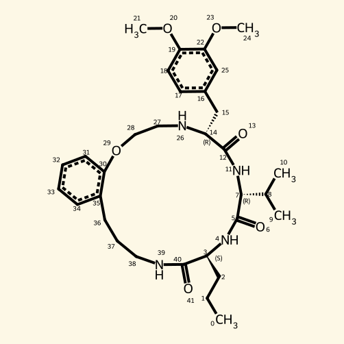 CCC[C@@H]1NC(=O)[C@@H](C(C)C)NC(=O)[C@@H](Cc2ccc(OC)c(OC)c2)NCCOc2ccccc2CCCNC1=O